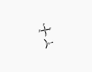 F[B-](F)(F)F.[CH3][Sn+]([CH3])[CH3]